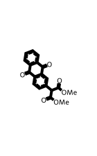 COC(=O)C(C(=O)OC)c1ccc2c(c1)C(=O)c1ccccc1C2=O